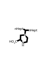 CCCCCCCC(CCCCCCC)N1CCNC(C(=O)O)C1